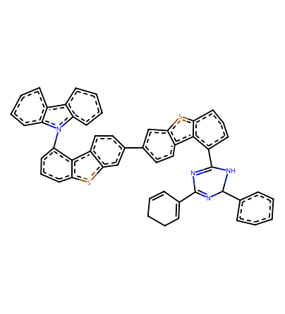 C1=CC(C2=NC(c3ccccc3)NC(c3cccc4sc5cc(-c6ccc7c(c6)sc6cccc(-n8c9ccccc9c9ccccc98)c67)ccc5c34)=N2)=CCC1